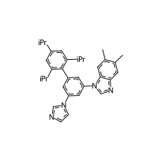 Cc1cc2ncn(-c3cc(-c4c(C(C)C)cc(C(C)C)cc4C(C)C)cc(-n4ccnc4)c3)c2cc1C